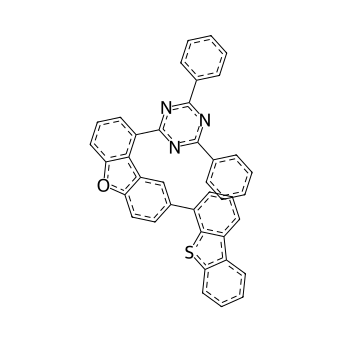 c1ccc(-c2nc(-c3ccccc3)nc(-c3cccc4oc5ccc(-c6cccc7c6sc6ccccc67)cc5c34)n2)cc1